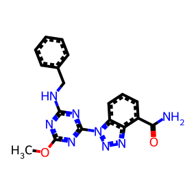 COc1nc(NCc2ccccc2)nc(-n2nnc3c(C(N)=O)cccc32)n1